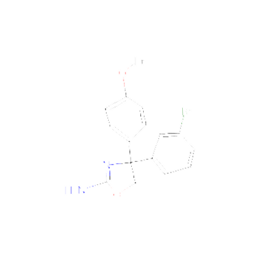 CCOc1ccc(C2(c3cccc(Br)c3)COC(N)=N2)cc1